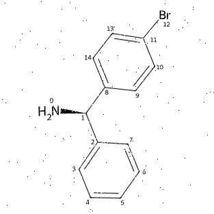 N[C@H](c1ccccc1)c1ccc(Br)cc1